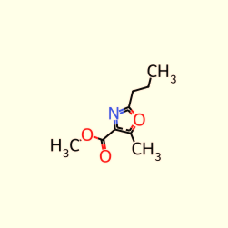 CCCc1nc(C(=O)OC)c(C)o1